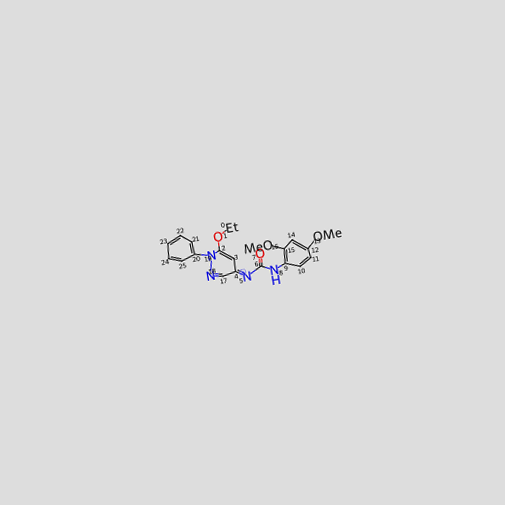 CCOc1c/c(=N\C(=O)Nc2ccc(OC)cc2OC)cnn1-c1ccccc1